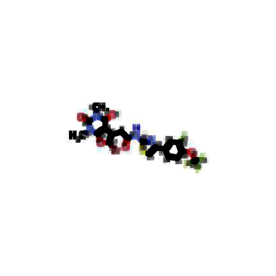 Cn1c(=O)c2c(CC(=O)Nc3nc(-c4ccc(OC(F)(F)F)c(F)c4)cs3)c(Br)oc2n(C)c1=O